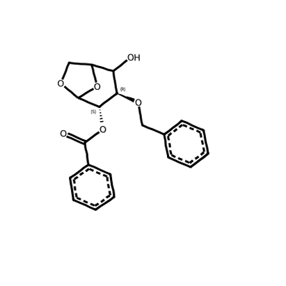 O=C(O[C@@H]1C2OCC(O2)C(O)[C@H]1OCc1ccccc1)c1ccccc1